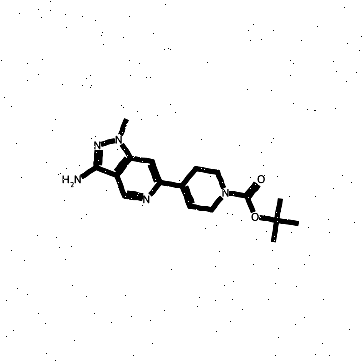 Cn1nc(N)c2cnc(C3=CCN(C(=O)OC(C)(C)C)CC3)cc21